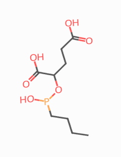 CCCCP(O)OC(CCC(=O)O)C(=O)O